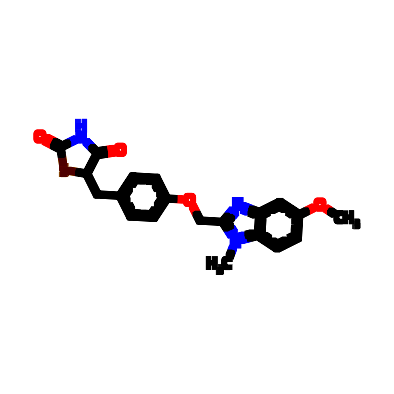 COc1ccc2c(c1)nc(COc1ccc(CC3SC(=O)NC3=O)cc1)n2C